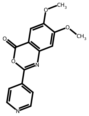 COc1cc2nc(-c3ccncc3)oc(=O)c2cc1OC